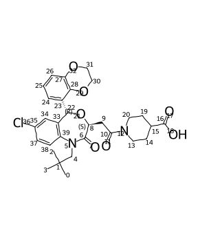 CC(C)(C)CN1C(=O)[C@H](CC(=O)N2CCC(C(=O)O)CC2)O[C@@H](c2cccc3c2OCCO3)c2cc(Cl)ccc21